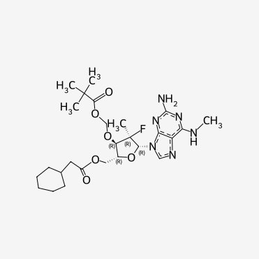 CNc1nc(N)nc2c1ncn2[C@@H]1O[C@H](COC(=O)CC2CCCCC2)[C@@H](OCOC(=O)C(C)(C)C)[C@@]1(C)F